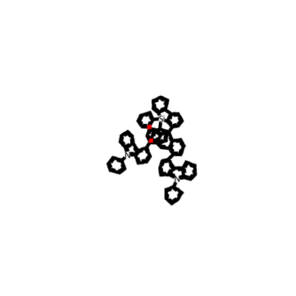 c1ccc(-n2c3ccccc3c3c(-c4cccc5c(-c6cccc7c6[Si](c6ccccc6)(c6ccccc6)c6ccccc6-7)c6cccc(-c7cccc8c7c7ccccc7n8-c7ccccc7)c6cc45)cccc32)cc1